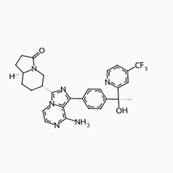 C[C@](O)(c1ccc(-c2nc([C@@H]3CC[C@H]4CCC(=O)N4C3)n3ccnc(N)c23)cc1)c1cc(C(F)(F)F)ccn1